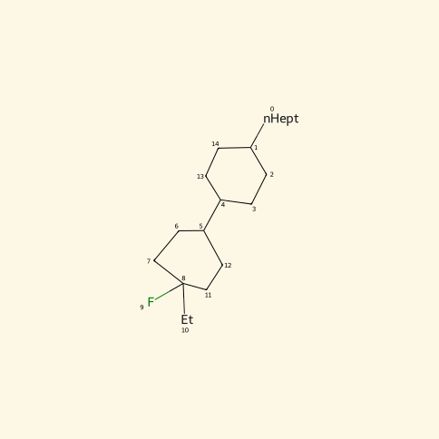 CCCCCCCC1CCC(C2CCC(F)(CC)CC2)CC1